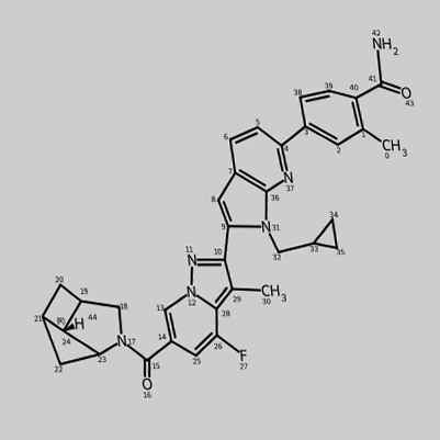 Cc1cc(-c2ccc3cc(-c4nn5cc(C(=O)N6CC7CC8CC6[C@H]87)cc(F)c5c4C)n(CC4CC4)c3n2)ccc1C(N)=O